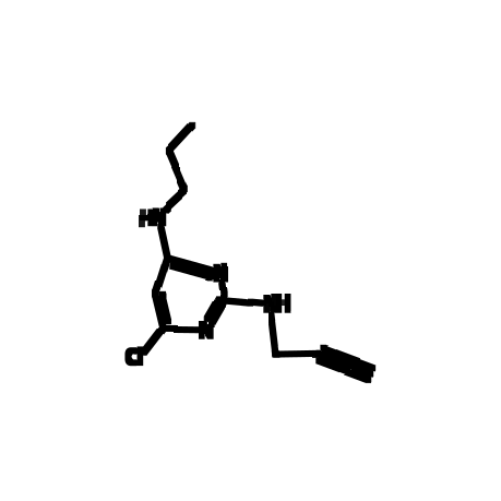 C#CCNc1nc(Cl)cc(NCCC)n1